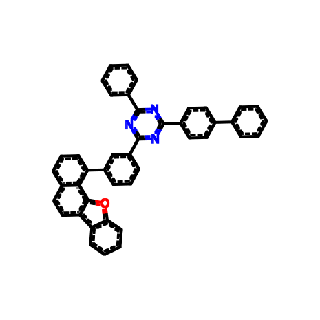 c1ccc(-c2ccc(-c3nc(-c4ccccc4)nc(-c4cccc(-c5cccc6ccc7c8ccccc8oc7c56)c4)n3)cc2)cc1